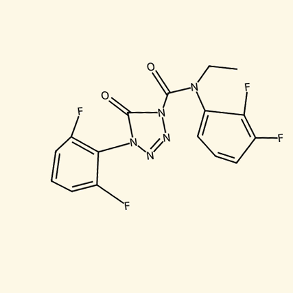 CCN(C(=O)n1nnn(-c2c(F)cccc2F)c1=O)c1cccc(F)c1F